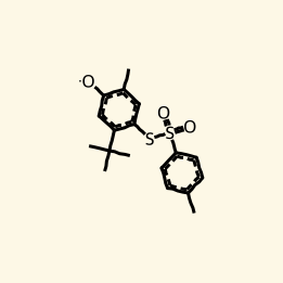 Cc1ccc(S(=O)(=O)Sc2cc(C)c([O])cc2C(C)(C)C)cc1